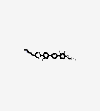 BCOc1ccc(-c2ccc(-c3ccc(C4OCC(CC/C=C/C)CO4)c(F)c3)cc2)c(F)c1F